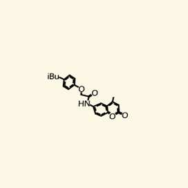 CCC(C)c1ccc(OCC(=O)Nc2ccc3oc(=O)cc(C)c3c2)cc1